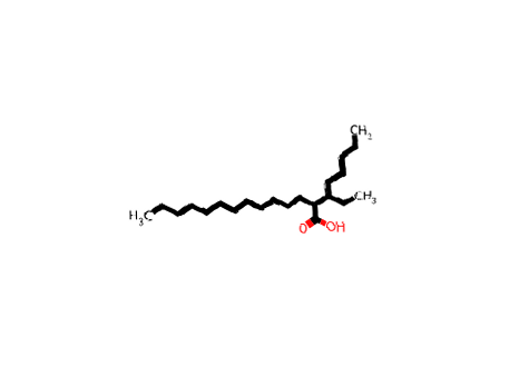 CCCCCCCCCCCCC(C(=O)O)C(CC)CCCCC